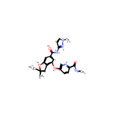 CNC(=O)c1ccc(Oc2cc(C(=O)Nc3ccn(C)n3)cc3c2CC(C)(C)O3)cn1